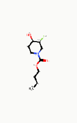 CCCCOC(=O)N1CC[C@@H](O)[C@@H](F)C1